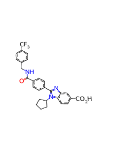 O=C(O)c1ccc2c(c1)nc(-c1ccc(C(=O)NCc3ccc(C(F)(F)F)cc3)cc1)n2C1CCCC1